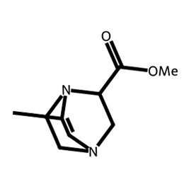 COC(=O)C1CN2C=C(C)N1CC2